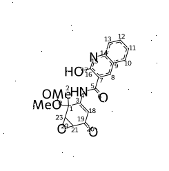 COC1(OC)C(NC(=O)c2cc3ccccc3nc2O)=CC(=O)C2OC21